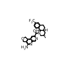 C[C@@H]1C[C@@H]2CCc3cc(C(F)(F)F)ccc3[C@@H]2N(C(=O)c2cc3c4c(c(N)nc3cn2)COC4)C1